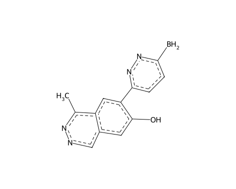 Bc1ccc(-c2cc3c(C)nncc3cc2O)nn1